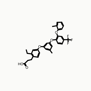 CCc1cc(Oc2cc(C)cc(Oc3ccc(C(F)(F)F)cc3Oc3ccccc3C)c2)ccc1CCC(=O)O